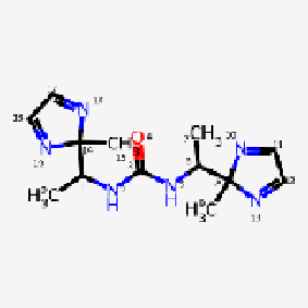 CC(NC(=O)NC(C)C1(C)N=CC=N1)C1(C)N=CC=N1